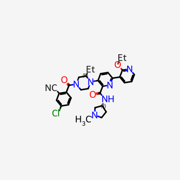 CCOc1ncccc1-c1ccc(N2CCN(C(=O)c3ccc(Cl)cc3C#N)C[C@H]2CC)c(C(=O)N[C@@H]2CCN(C)C2)n1